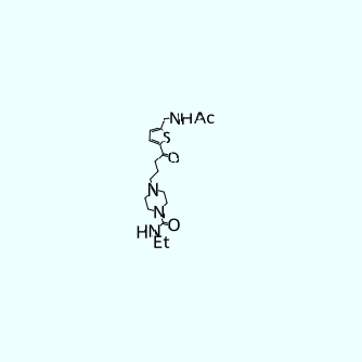 CCNC(=O)N1CCN(CCCC(=O)c2ccc(CNC(C)=O)s2)CC1